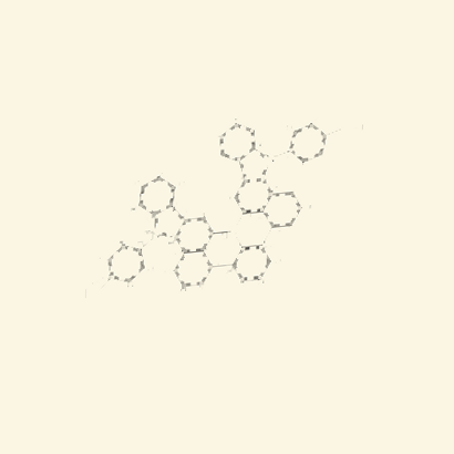 CC(C)(C)c1ccc(-n2c3ccccc3c3cc4c5c(cccc5c32)-c2cccc3c2B4c2cc4c5ccccc5n(-c5ccc(C(C)(C)C)cc5)c4c4cccc-3c24)cc1